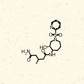 CC([CH]C(=O)NC1CCCN(S(=O)(=O)c2ccccn2)C[C@@H]1O)CC(N)=O